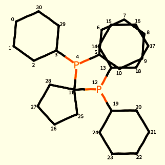 C1CCC(P(C2CCCCC2)C2(P(C3CCCCC3)C3CCCCC3)CCCC2)CC1